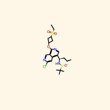 CCC[C@@H](N[S+]([O-])C(C)(C)C)c1cnc(OC2CC(S(=O)(=O)CC)C2)c2cnc(Cl)cc12